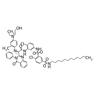 CCCCCCCCCCCCNS(=O)(=O)c1ccc(Cl)c(S(=O)(=O)Nc2ccc(Cl)c(NC(=O)/C(=N\c3ccc(N(CC)CCO)cc3C)c3nc4ccccc4c(=O)n3-c3ccccc3)c2)c1